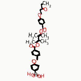 C=CC(=O)CCOc1ccc(C(=O)O/C(C)=C(C)/C(C)=C(\C)OC(=O)c2ccc(COc3ccc(B(O)O)cc3)cc2)cc1